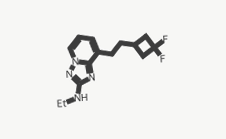 CCNc1nc2c(CCC3CC(F)(F)C3)cccn2n1